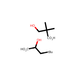 CC(C)(C)CC(O)C(=O)O.CC(C)(CO)C(=O)O